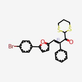 O=C(/C(=C/c1ccc(-c2ccc(Br)cc2)o1)c1ccccc1)C1SCCCS1